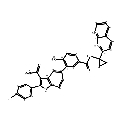 CNC(=O)c1c(-c2ccc(F)cc2)oc2ccc(-c3cc(C(=O)NC4(c5ccc6cccnc6n5)CC4)ccc3C)cc12